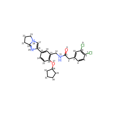 O=C(Cc1ccc(Cl)c(Cl)c1)NCc1cc(-c2cn3c(n2)CCC3)ccc1OC1CCCC1